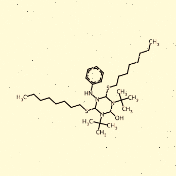 CCCCCCCCSC1N(Nc2ccccc2)C(SCCCCCCCC)N(C(C)(C)C)C(O)N1C(C)(C)C